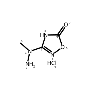 CN(N)c1noc(=O)[nH]1.Cl